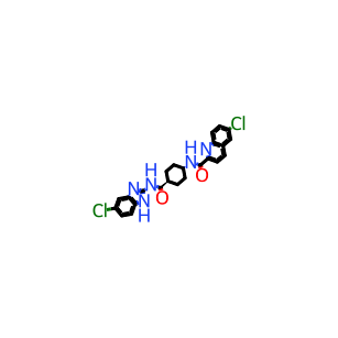 O=C(N[C@H]1CC[C@H](C(=O)Nc2nc3cc(Cl)ccc3[nH]2)CC1)c1ccc2cc(Cl)ccc2n1